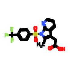 Cc1c(CC(=O)O)c2cccnc2n1S(=O)(=O)c1ccc(C(F)(F)F)cc1